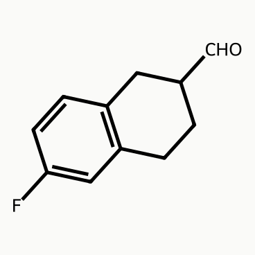 O=CC1CCc2cc(F)ccc2C1